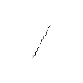 ClCCCCCCSSCCCCCCCl